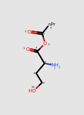 CCCC(=O)OC(=O)[C@@H](N)CCO